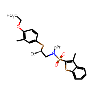 CCCN(C[C@@H](CC)Sc1ccc(OCC(=O)O)c(C)c1)S(=O)(=O)c1sc2ccccc2c1C